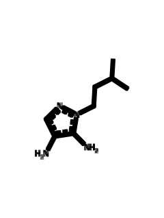 CC(C)CCn1ncc(N)c1N